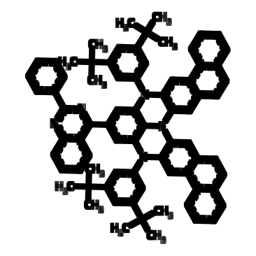 CC(C)(C)c1cc(N2c3cc4c(ccc5ccccc54)cc3B3c4cc5ccc6ccccc6c5cc4N(c4cc(C(C)(C)C)cc(C(C)(C)C)c4)c4cc(-c5nc(-c6ccccc6)nc6ccccc56)cc2c43)cc(C(C)(C)C)c1